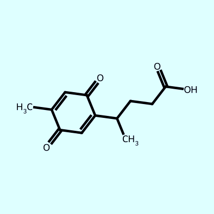 CC1=CC(=O)C(C(C)CCC(=O)O)=CC1=O